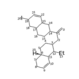 C=C(CC1CC[C@H]2CCC=CC2C1CC)C1CCC2CC(I)C=CC2C1